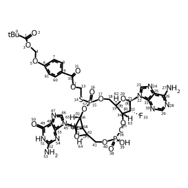 CC(C)(C)C(=O)OCOc1ccc(C(=O)OCSP2(=O)OC[C@H]3O[C@@H](n4cnc5c(N)ncnc54)[C@H](F)[C@@H]3OCP(=O)(O)OC[C@H]3O[C@@H](n4cnc5c(=O)[nH]c(N)nc54)[C@H](O2)[C@@H]3F)cc1